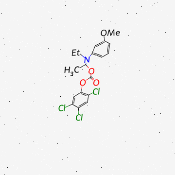 CCN(c1cccc(OC)c1)C(C)OC(=O)Oc1cc(Cl)c(Cl)cc1Cl